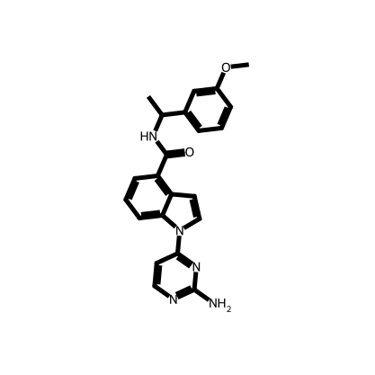 COc1cccc(C(C)NC(=O)c2cccc3c2ccn3-c2ccnc(N)n2)c1